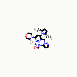 Cc1ccc(C)n1-c1cc(N2CCOC[C@H]2C)nnc1Cn1nccc1NC=O